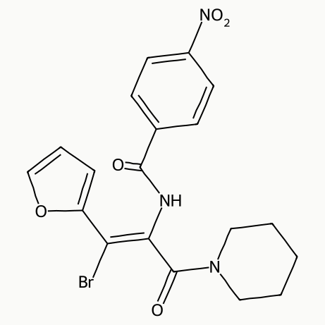 O=C(N/C(C(=O)N1CCCCC1)=C(/Br)c1ccco1)c1ccc([N+](=O)[O-])cc1